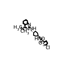 CN(C)c1nc(NC[C@H]2CC[C@H](CNS(=O)(=O)c3ccc(Cl)s3)CC2)nc2ccccc12